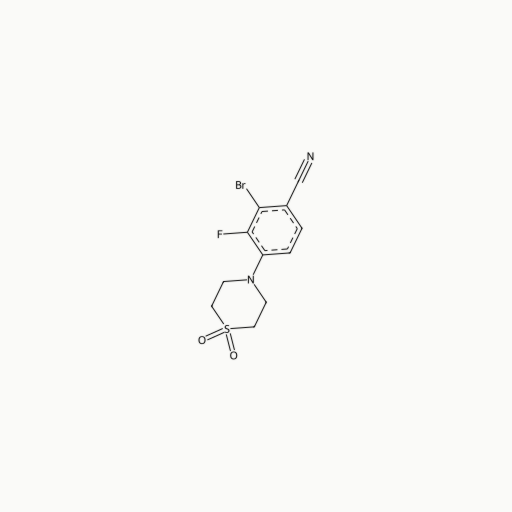 N#Cc1ccc(N2CCS(=O)(=O)CC2)c(F)c1Br